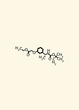 CCOC(=O)COc1cccc([C@@H](C)NC(=O)OC(C)(C)C)c1